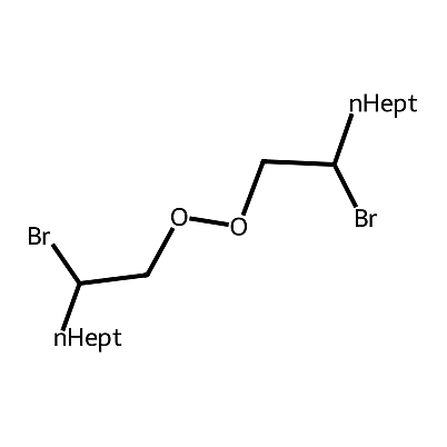 CCCCCCCC(Br)COOCC(Br)CCCCCCC